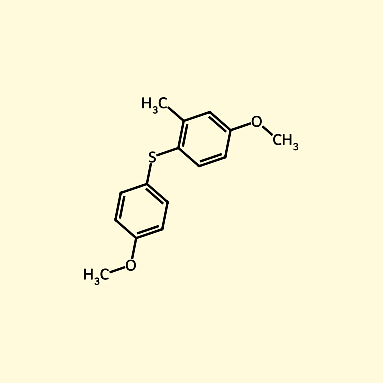 COc1ccc(Sc2ccc(OC)cc2C)cc1